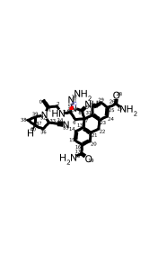 C=C(CN[C@@H](C)CC1(C(=N)/N=N\N)c2ccc(C(N)=O)cc2Cc2cc(C(N)=O)ccc21)N1C(C#N)C[C@@H]2CC21